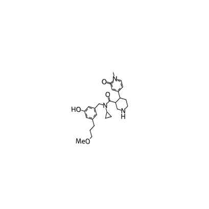 COCCCc1cc(O)cc(CN(C(=O)C2CNCCC2c2ccn(C)c(=O)c2)C2CC2)c1